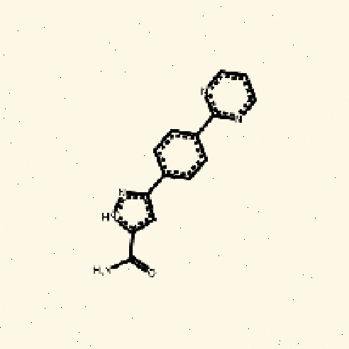 NC(=O)c1cc(-c2ccc(-c3ncccn3)cc2)n[nH]1